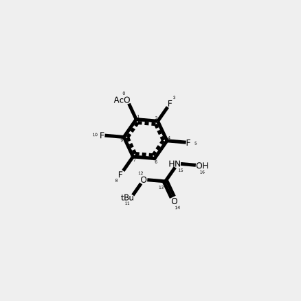 CC(=O)Oc1c(F)c(F)cc(F)c1F.CC(C)(C)OC(=O)NO